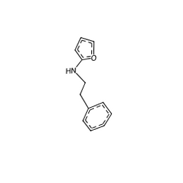 c1ccc(CCNc2ccco2)cc1